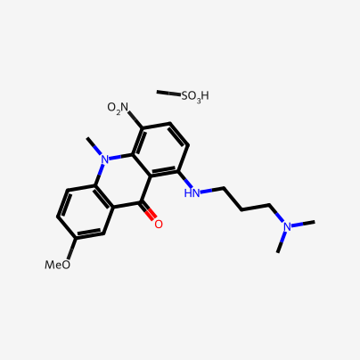 COc1ccc2c(c1)c(=O)c1c(NCCCN(C)C)ccc([N+](=O)[O-])c1n2C.CS(=O)(=O)O